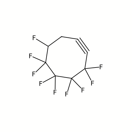 FC1CC#CC(F)(F)C(F)(F)C(F)(F)C1(F)F